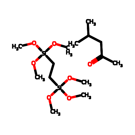 CC(=O)CC(C)C.CO[Si](CC[Si](OC)(OC)OC)(OC)OC